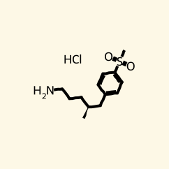 C[C@@H](CCCN)Cc1ccc(S(C)(=O)=O)cc1.Cl